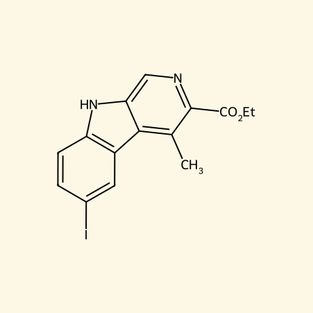 CCOC(=O)c1ncc2[nH]c3ccc(I)cc3c2c1C